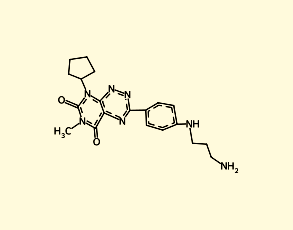 Cn1c(=O)c2nc(-c3ccc(NCCCN)cc3)nnc2n(C2CCCC2)c1=O